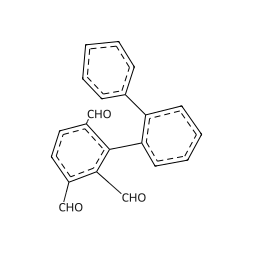 O=Cc1ccc(C=O)c(-c2ccccc2-c2ccccc2)c1C=O